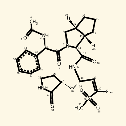 CC(=O)N[C@@H](C(=O)N1C[C@@H]2CCC[C@@H]2[C@H]1C(=O)N[C@H](/C=C(/F)S(C)(=O)=O)C[C@H]1CCNC1=O)c1ccccc1